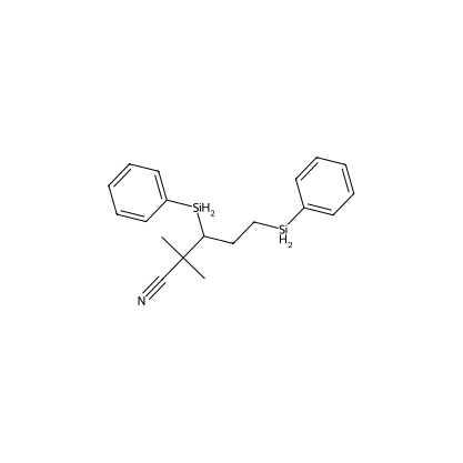 CC(C)(C#N)C(CC[SiH2]c1ccccc1)[SiH2]c1ccccc1